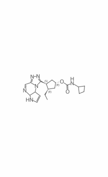 CC[C@@H]1C[C@@H](OC(=O)NC2CCC2)C[C@@H]1c1nnc2n1C1C=CNC1N=C2